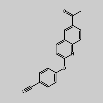 CC(=O)c1ccc2nc(Oc3ccc(C#N)cc3)ccc2c1